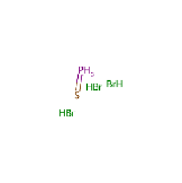 Br.Br.Br.[PH3]=S